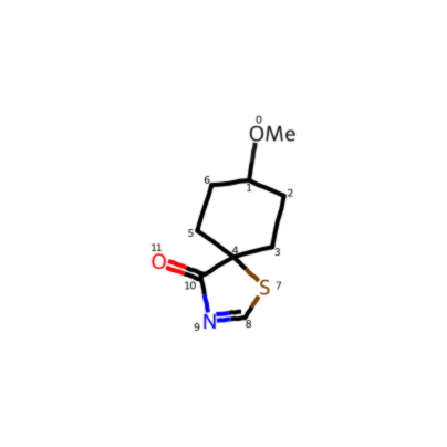 COC1CCC2(CC1)SC=NC2=O